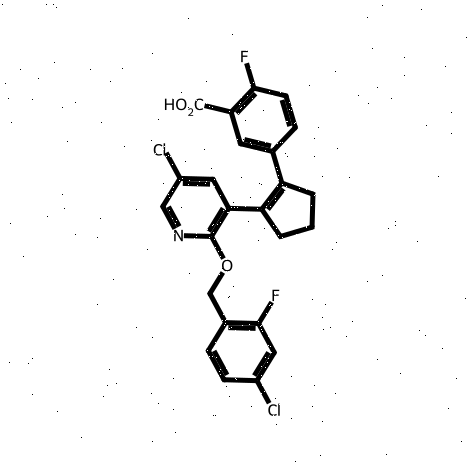 O=C(O)c1cc(C2=C(c3cc(Cl)cnc3OCc3ccc(Cl)cc3F)CCC2)ccc1F